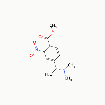 COC(=O)c1ccc(C(C)N(C)C)cc1[N+](=O)[O-]